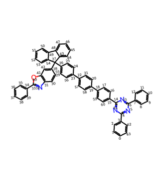 c1ccc(-c2nc(-c3ccccc3)nc(-c3ccc(-c4ccc(-c5ccc(C6(c7ccc8nc(-c9ccccc9)oc8c7)c7ccccc7-c7ccccc76)cc5)cc4)cc3)n2)cc1